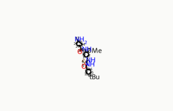 COc1cc(NC(=S)NC(=O)c2ccc(C(C)(C)C)cc2)ccc1NC(=O)c1ccc(N)cc1